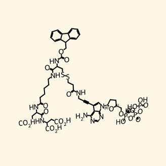 Nc1ncnc2c1c(C#CCNC(=O)CCSSCC(NC(=O)OCC1c3ccccc3-c3ccccc31)C(=O)NCCCCCC(=O)NC(CC(=O)O)C(=O)NC(CC(=O)O)C(=O)O)cn2[C@H]1CC[C@@H](COP(=O)(O)OP(=O)(O)OP(=O)(O)O)O1